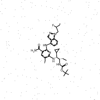 CC[C@H](NC(=O)OC(C)(C)C)[C@H](Nc1nc(Nc2cccc3c2cnn3CC(F)F)c(C(N)=O)cc1F)C1CC1